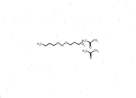 CC(C)=O.CC(C)=O.CCCC[O][Hf][O]CCCC